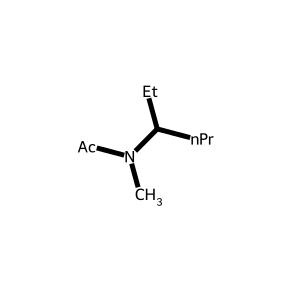 CCCC(CC)N(C)C(C)=O